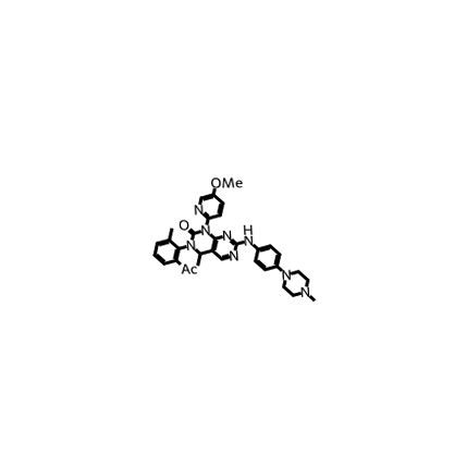 COc1ccc(N2C(=O)N(c3c(C)cccc3C(C)=O)C(C)c3cnc(Nc4ccc(N5CCN(C)CC5)cc4)nc32)nc1